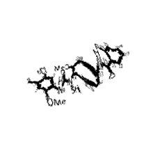 COc1cc(C)c(Cl)cc1NC(=O)N(S)c1ccc(NC(=O)c2ccccc2F)cc1OC